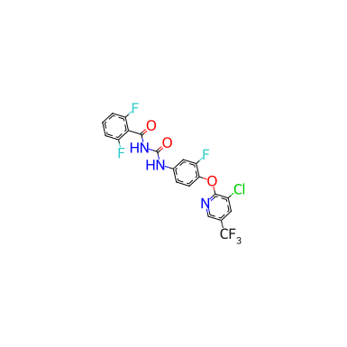 O=C(NC(=O)c1c(F)cccc1F)Nc1ccc(Oc2ncc(C(F)(F)F)cc2Cl)c(F)c1